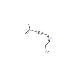 C=C(C)C#C/C=C\CBr